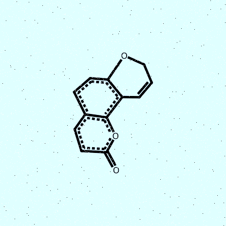 O=c1ccc2ccc3c(c2o1)C=CCO3